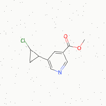 COC(=O)c1cncc(C2CC2Cl)c1